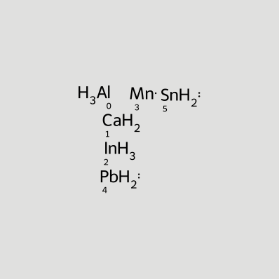 [AlH3].[CaH2].[InH3].[Mn].[PbH2].[SnH2]